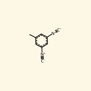 [C-]#[N+]c1cc(C)cc([N+]#[C-])c1